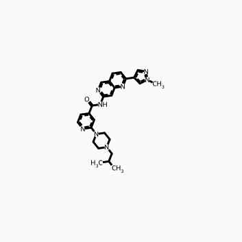 CC(C)CN1CCN(c2cc(C(=O)Nc3cc4nc(-c5cnn(C)c5)ccc4cn3)ccn2)CC1